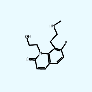 CNCCc1c(F)ccc2ccc(=O)n(CCO)c12